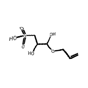 C=CCOC(O)C(O)CS(=O)(=O)O